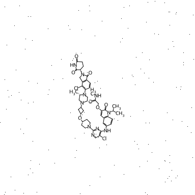 CNC(=O)COc1cc2cc(Nc3nc(N4CCC(OC5CC(N6CCN(c7ccc8c(c7Cl)CN([C@@H]7CCC(=O)NC7=O)C8=O)[C@@H](C)C6)C5)CC4)ncc3Cl)ccc2n(C(C)C)c1=O